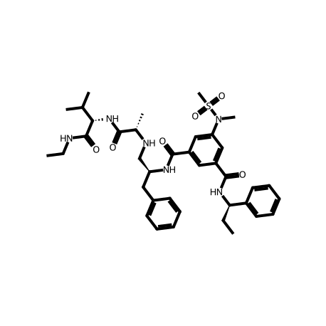 CCNC(=O)[C@@H](NC(=O)[C@H](C)NC[C@H](Cc1ccccc1)NC(=O)c1cc(C(=O)N[C@H](CC)c2ccccc2)cc(N(C)S(C)(=O)=O)c1)C(C)C